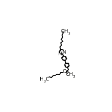 CCCCCCCCCO[C@H](C)Cc1ccc(-c2ccc(-c3ncc(CCCCCCCCC)cn3)cc2)cc1